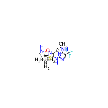 BC(B)(B)[C@@]1(c2nc(C3CC3)c(Nc3ncc(C(F)(F)F)c(NCC)n3)s2)CCNC1=O